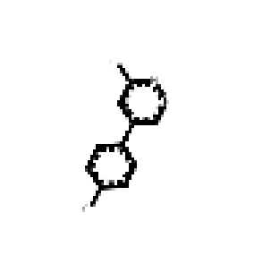 Clc1ccc(-c2cnnc(Cl)c2)cc1